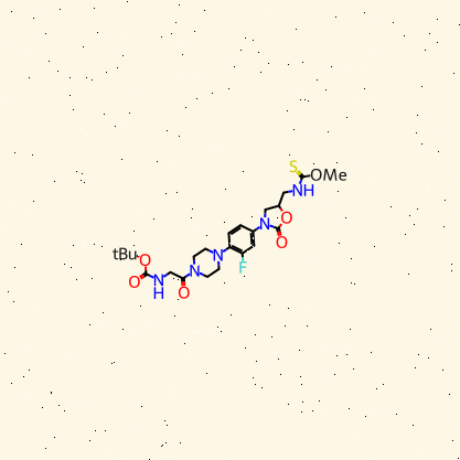 COC(=S)NCC1CN(c2ccc(N3CCN(C(=O)CNC(=O)OC(C)(C)C)CC3)c(F)c2)C(=O)O1